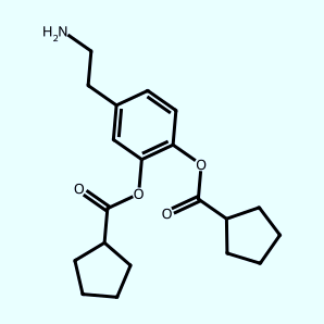 NCCc1ccc(OC(=O)C2CCCC2)c(OC(=O)C2CCCC2)c1